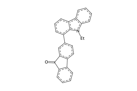 CCn1c2ccccc2c2cccc(-c3ccc4c(c3)C(=O)c3ccccc3-4)c21